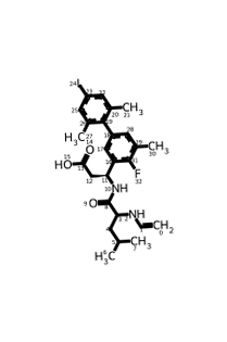 C=CNC(CC(C)C)C(=O)N[C@@H](CC(=O)O)c1cc(-c2c(C)cc(I)cc2C)cc(C)c1F